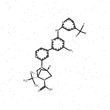 CC(C)(C)[C@]12C[C@@H](CN1C(=O)O)N(c1cc(-c3cc(N)cc(Nc4cc(C(F)(F)F)ccn4)n3)ccn1)C2